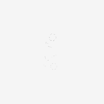 COc1ccc2c3c1O[C@H]1C[C@H](OC(=O)Nc4ccccc4)C=C[C@@]31CCN(C)C2